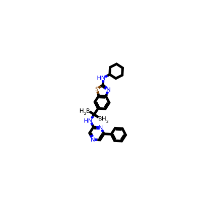 BC(B)(Nc1cncc(-c2ccccc2)n1)c1ccc2nc(NC3CCCCC3)sc2c1